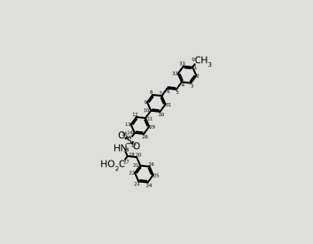 Cc1ccc(/C=C/c2ccc(-c3ccc(S(=O)(=O)NC(Cc4ccccc4)C(=O)O)cc3)cc2)cc1